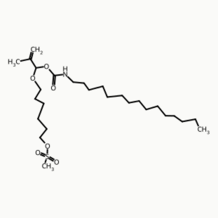 C=C(C)C(OCCCCCCOS(C)(=O)=O)OC(=O)NCCCCCCCCCCCCCCC